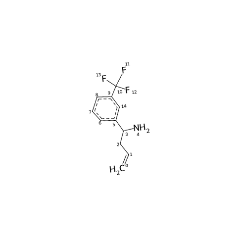 C=CCC(N)c1cccc(C(F)(F)F)c1